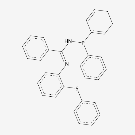 C1=CC(P(N/C(=N/c2ccccc2Sc2ccccc2)c2ccccc2)c2ccccc2)=CCC1